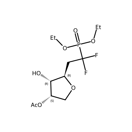 CCOP(=O)(OCC)C(F)(F)C[C@H]1OC[C@H](OC(C)=O)[C@@H]1O